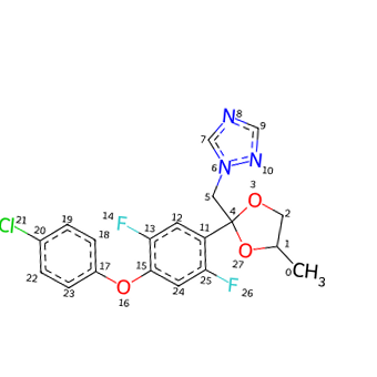 CC1COC(Cn2cncn2)(c2cc(F)c(Oc3ccc(Cl)cc3)cc2F)O1